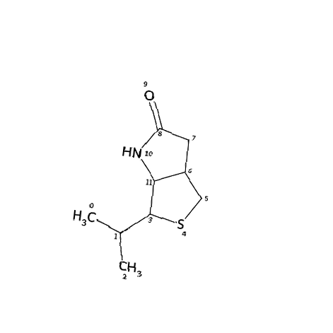 CC(C)C1SCC2CC(=O)NC21